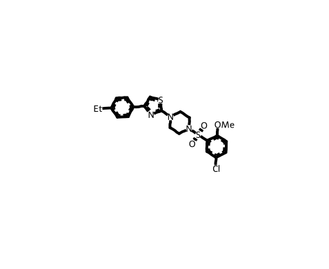 CCc1ccc(-c2csc(N3CCN(S(=O)(=O)c4cc(Cl)ccc4OC)CC3)n2)cc1